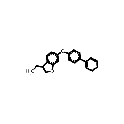 CCC1COc2cc(Oc3ccc(C4=CCCC=C4)cc3)ccc21